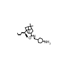 C#C/C(=C\C=C/C)C12CC3C(C)(C)C4CC(C(=O)/N=C/C5CCC(N)CC5)(C1)CC432